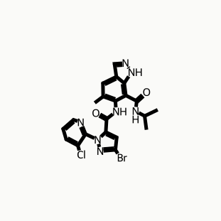 Cc1cc2cn[nH]c2c(C(=O)NC(C)C)c1NC(=O)c1cc(Br)nn1-c1ncccc1Cl